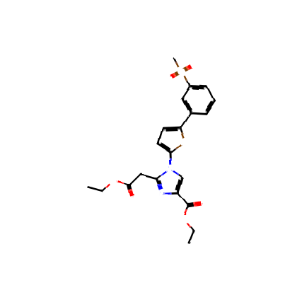 CCOC(=O)Cc1nc(C(=O)OCC)cn1-c1ccc(-c2cccc(S(C)(=O)=O)c2)s1